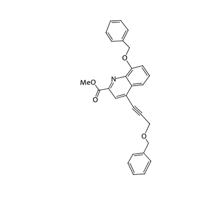 COC(=O)c1cc(C#CCOCc2ccccc2)c2cccc(OCc3ccccc3)c2n1